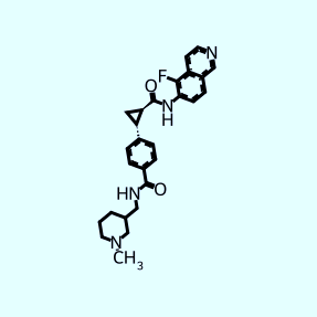 CN1CCCC(CNC(=O)c2ccc([C@@H]3C[C@H]3C(=O)Nc3ccc4cnccc4c3F)cc2)C1